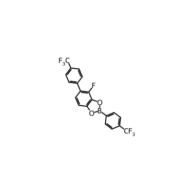 Fc1c(-c2ccc(C(F)(F)F)cc2)ccc2c1OB(c1ccc(C(F)(F)F)cc1)O2